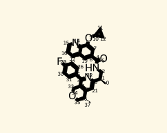 C[C@H](CNC(=O)c1cc(OC2CC2)c2ncccc2c1)c1cc2c(c(-c3ccc(F)cc3)n1)COC[C@H]2C